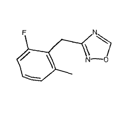 Cc1cccc(F)c1Cc1ncon1